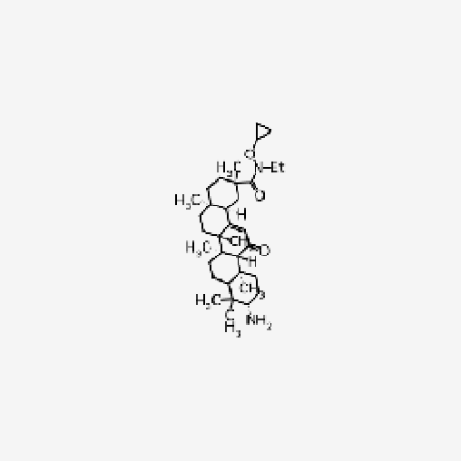 CCN(OC1CC1)C(=O)[C@@]1(C)CC[C@]2(C)CC[C@]3(C)C(=CC(=O)[C@@H]4[C@@]5(C)CC[C@H](N)C(C)(C)C5CC[C@]43C)[C@@H]2C1